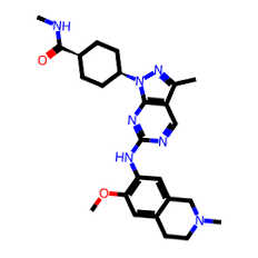 CNC(=O)[C@H]1CC[C@@H](n2nc(C)c3cnc(Nc4cc5c(cc4OC)CCN(C)C5)nc32)CC1